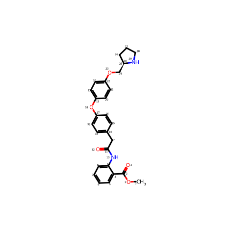 COC(=O)c1ccccc1NC(=O)Cc1ccc(Oc2ccc(OC[C@H]3CCCN3)cc2)cc1